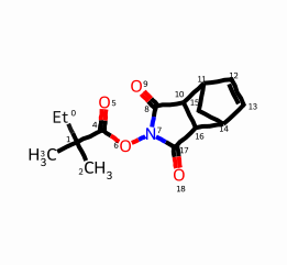 CCC(C)(C)C(=O)ON1C(=O)C2C3C=CC(C3)C2C1=O